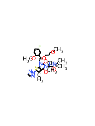 COCCCO[C@@H](Cn1c(=O)n(C(C)(C)C(=O)NC(C)C)c(=O)c2c(C)c(-n3nccn3)sc21)c1cc(F)ccc1OC